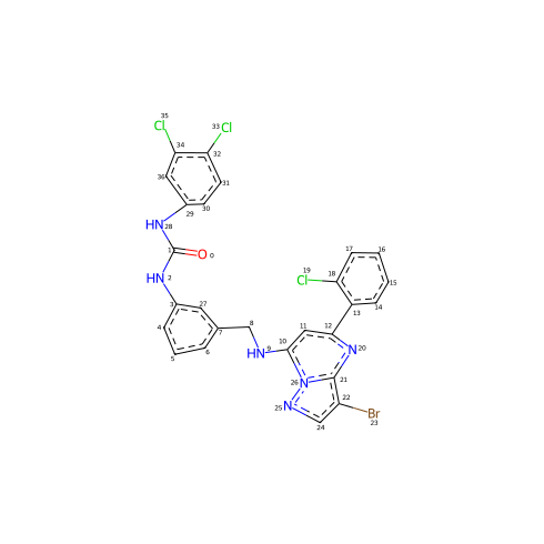 O=C(Nc1cccc(CNc2cc(-c3ccccc3Cl)nc3c(Br)cnn23)c1)Nc1ccc(Cl)c(Cl)c1